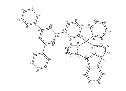 c1ccc(-c2cc(-c3ccccc3)nc(-c3ccc4c(c3)C3(c5ccccc5-4)c4ccccc4-n4c5ccccc5c5cccc3c54)n2)cc1